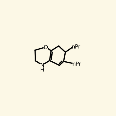 CCCC1=CC2=C(CC1CCC)OCCN2